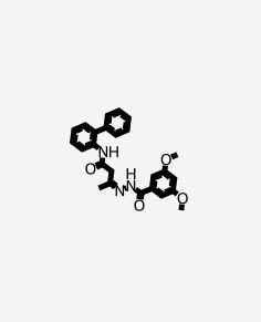 COc1cc(OC)cc(C(=O)NN=C(C)CC(=O)Nc2ccccc2-c2ccccc2)c1